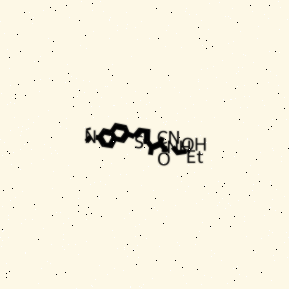 CCC(O)CNC(=O)/C(C#N)=C(\C)c1ccc(-c2ccc3cc(N(C)C)ccc3c2)s1